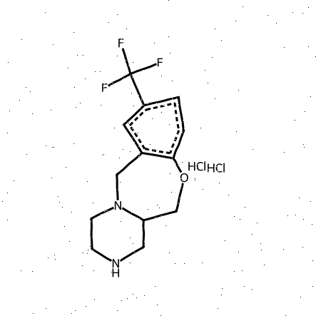 Cl.Cl.FC(F)(F)c1ccc2c(c1)CN1CCNCC1CO2